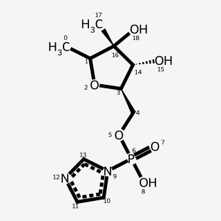 CC1O[C@H](COP(=O)(O)n2ccnc2)[C@@H](O)[C@@]1(C)O